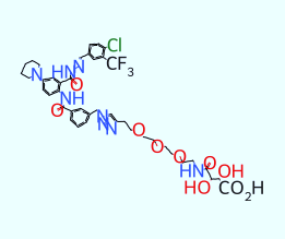 O=C(Nc1ccc(N2CCCCC2)cc1C(=O)NN=Cc1ccc(Cl)c(C(F)(F)F)c1)c1cccc(Cn2cc(CCOCCOCCOCCNC(=O)C(O)C(O)C(=O)O)nn2)c1